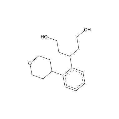 OCCC(CCO)c1ccccc1C1CCOCC1